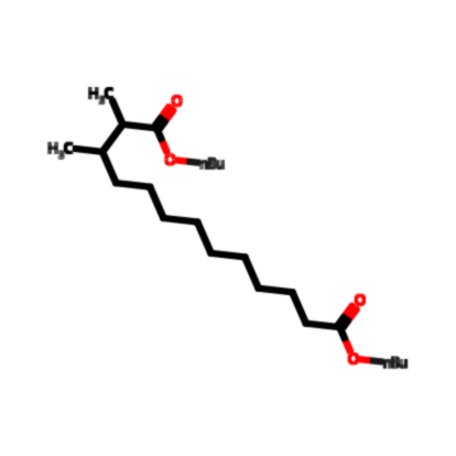 CCCCOC(=O)CCCCCCCCCC(C)C(C)C(=O)OCCCC